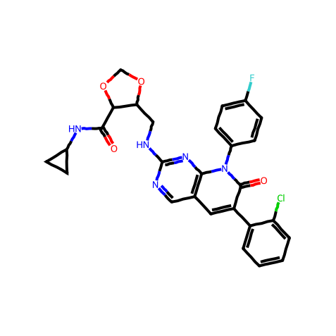 O=C(NC1CC1)C1OCOC1CNc1ncc2cc(-c3ccccc3Cl)c(=O)n(-c3ccc(F)cc3)c2n1